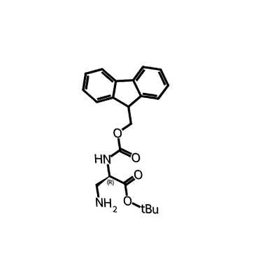 CC(C)(C)OC(=O)[C@@H](CN)NC(=O)OCC1c2ccccc2-c2ccccc21